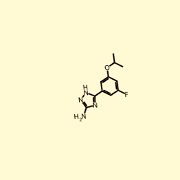 CC(C)Oc1cc(F)cc(-c2nc(N)n[nH]2)c1